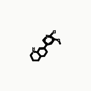 COc1cc(C2=CC3NCCCC3CC2)cnc1Cl